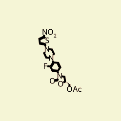 CC(=O)OC[C@H]1CN(c2ccc(N3CCN(c4ccc([N+](=O)[O-])s4)CC3)c(F)c2)C(=O)O1